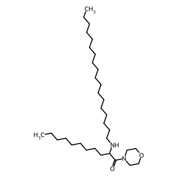 CCCCCCCCCCCCCCCCCCNC(CCCCCCCCC)C(=O)N1CCOCC1